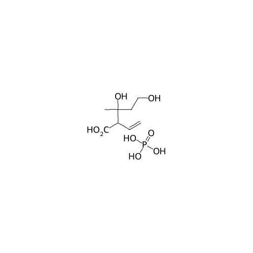 C=CC(C(=O)O)C(C)(O)CCO.O=P(O)(O)O